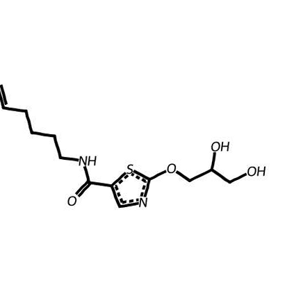 C=CCCCCNC(=O)c1cnc(OCC(O)CO)s1